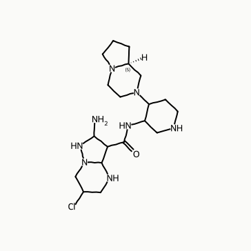 NC1NN2CC(Cl)CNC2C1C(=O)NC1CNCCC1N1CCN2CCC[C@H]2C1